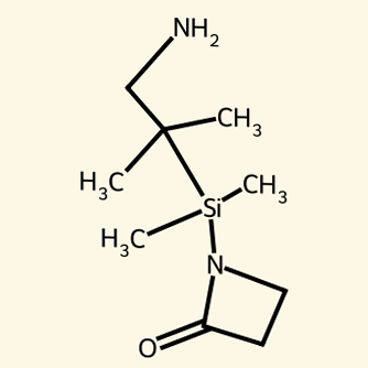 CC(C)(CN)[Si](C)(C)N1CCC1=O